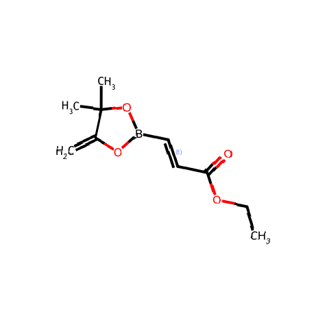 C=C1OB(/C=C/C(=O)OCC)OC1(C)C